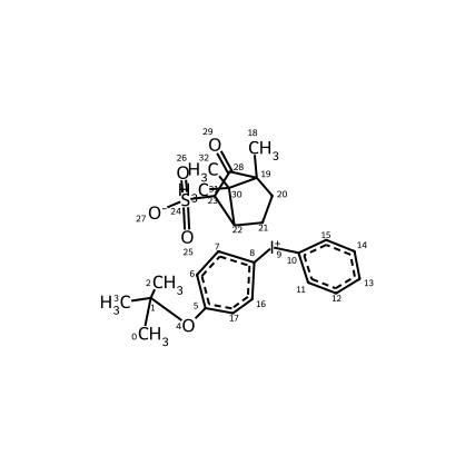 CC(C)(C)Oc1ccc([I+]c2ccccc2)cc1.CC12CCC(C(S(=O)(=O)[O-])C1=O)C2(C)C